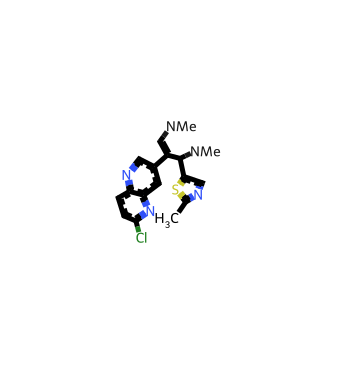 CN/C=C(/c1cnc2ccc(Cl)nc2c1)C(NC)c1cnc(C)s1